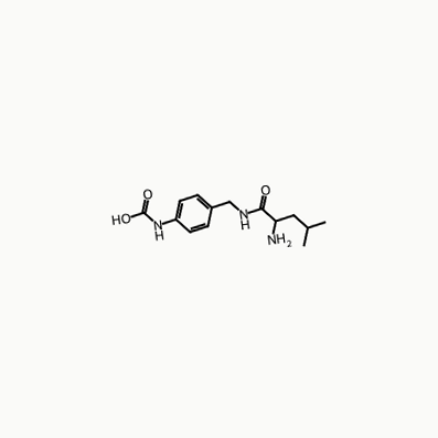 CC(C)CC(N)C(=O)NCc1ccc(NC(=O)O)cc1